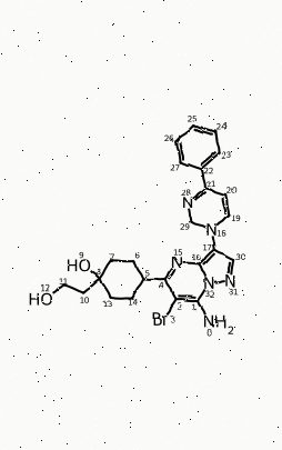 Nc1c(Br)c(C2CCC(O)(CCO)CC2)nc2c(N3C=CC(c4ccccc4)=NC3)cnn12